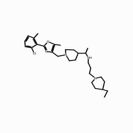 CCC1CCN(CCCNC(C)C2CCN(Cc3nc(-c4c(C)cccc4Cl)oc3C)CC2)CC1